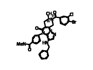 CNC(=O)c1ccc(-n2c(=O)c3c(n4ncc(NCc5ccccc5)c24)CN(C(=O)c2ccc(Br)c(Cl)c2)[C@H](C)C3)cc1